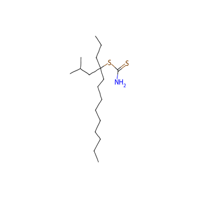 CCCCCCCCCC(CCC)(CC(C)C)SC(N)=S